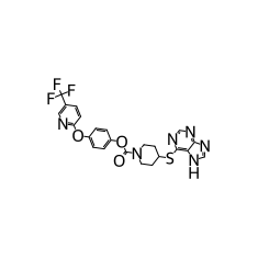 O=C(Oc1ccc(Oc2ccc(C(F)(F)F)cn2)cc1)N1CCC(Sc2ncnc3nc[nH]c23)CC1